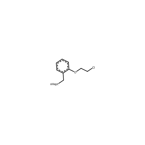 CCCCCCCCc1ccccc1OCCCl